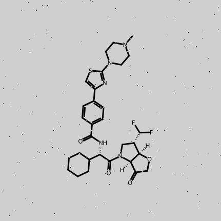 CN1CCN(c2nc(-c3ccc(C(=O)N[C@H](C(=O)N4C[C@H](C(F)F)[C@H]5OCC(=O)[C@H]54)C4CCCCC4)cc3)cs2)CC1